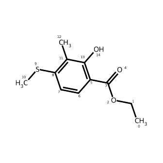 CCOC(=O)c1ccc(SC)c(C)c1O